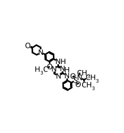 COc1cc(N2CCC(=O)CC2)ccc1Nc1ncnc(Nc2ccccc2S(=O)(=O)N(C)C(C)C)n1